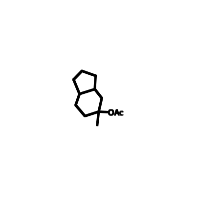 CC(=O)OC1(C)CCC2CCCC2C1